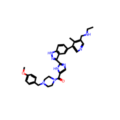 CCNCc1cncc(-c2ccc3[nH]nc(-c4ncc(C(=O)N5CCN(Cc6ccc(OC)cc6)CC5)[nH]4)c3c2)c1C